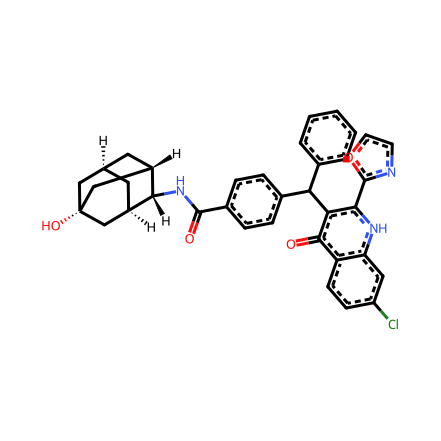 O=C(N[C@@H]1[C@@H]2C[C@@H]3C[C@H]1C[C@](O)(C3)C2)c1ccc(C(c2ccccc2)c2c(-c3ncco3)[nH]c3cc(Cl)ccc3c2=O)cc1